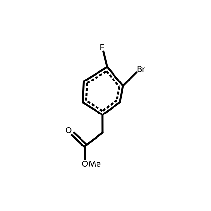 COC(=O)Cc1ccc(F)c(Br)c1